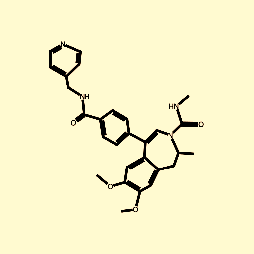 CNC(=O)N1C=C(c2ccc(C(=O)NCc3ccncc3)cc2)c2cc(OC)c(OC)cc2CC1C